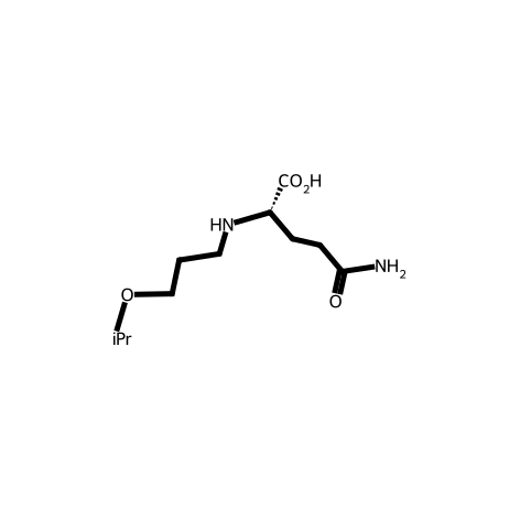 CC(C)OCCCN[C@@H](CCC(N)=O)C(=O)O